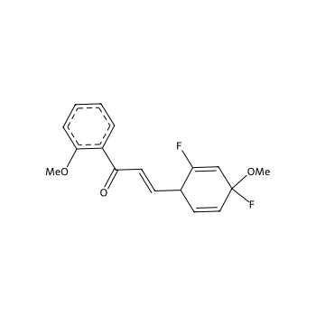 COc1ccccc1C(=O)/C=C/C1C=CC(F)(OC)C=C1F